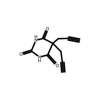 C#CCC1(CC#C)C(=O)NC(=O)NC1=O